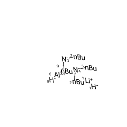 CCCC[N-]CCCC.CCCC[N-]CCCC.[Al+3].[H-].[H-].[Li+]